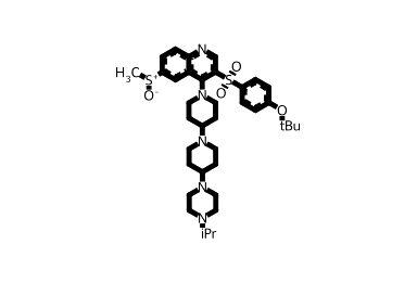 CC(C)N1CCN(C2CCN(C3CCN(c4c(S(=O)(=O)c5ccc(OC(C)(C)C)cc5)cnc5ccc([S+](C)[O-])cc45)CC3)CC2)CC1